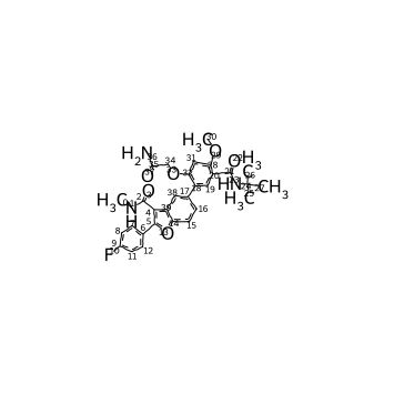 CNC(=O)c1c(-c2ccc(F)cc2)oc2ccc(-c3cc(C(=O)NC(C)(C)C)c(OC)cc3OCC(N)=O)cc12